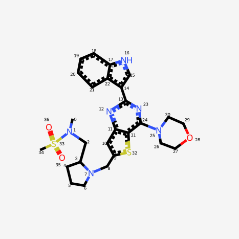 CN(CC1CCCN1Cc1cc2nc(-c3c[nH]c4ccccc34)nc(N3CCOCC3)c2s1)S(C)(=O)=O